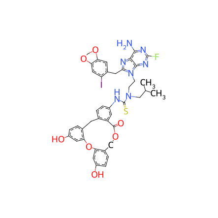 CC(C)CN(CCn1c(Cc2cc3c(cc2I)OCO3)nc2c(N)nc(F)nc21)C(=S)Nc1ccc2c(c1)C(=O)OCc1ccc(O)cc1Oc1cc(O)ccc1C2